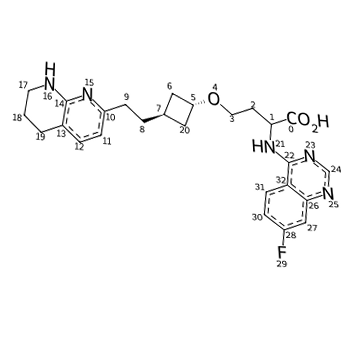 O=C(O)C(CCO[C@H]1C[C@H](CCc2ccc3c(n2)NCCC3)C1)Nc1ncnc2cc(F)ccc12